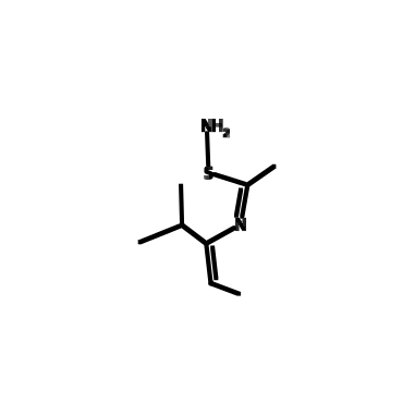 C/C=C(\N=C(\C)SN)C(C)C